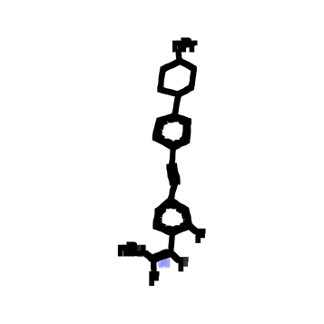 CCCC/C(F)=C(/F)c1ccc(C#Cc2ccc(C3CCC(CCC)CC3)cc2)cc1F